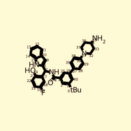 CC(C)(C)c1cc(C(=O)NC(c2cc3ccccc3[nH]2)c2cc(F)ccc2O)cc(-c2ccc(N3CCC(N)CC3)cc2)c1